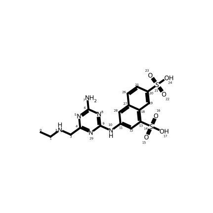 CCNCc1nc(N)nc(Nc2cc(S(=O)(=O)O)c3cc(S(=O)(=O)O)ccc3c2)n1